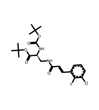 CC(C)(C)OC(=O)N[C@@H](CNC(=O)/C=C/c1cccc(Cl)c1F)C(=O)OC(C)(C)C